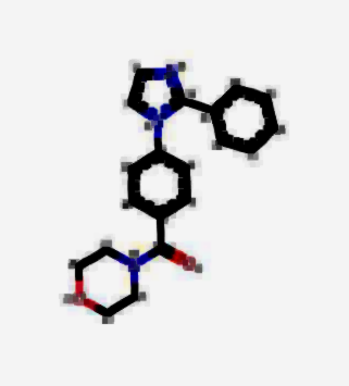 O=C(c1ccc(-n2ccnc2-c2ccccc2)cc1)N1CCOCC1